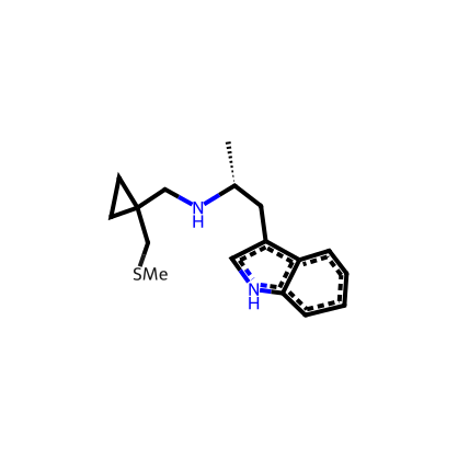 CSCC1(CN[C@H](C)Cc2c[nH]c3ccccc23)CC1